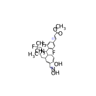 COC(=O)/C=C/c1cc(F)c(C2C3CC=C(O)C(/C=N/O)=CC3CC(C)N2CC(C)(C)F)c(F)c1